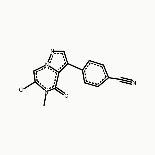 Cn1c(Cl)cn2ncc(-c3ccc(C#N)cc3)c2c1=O